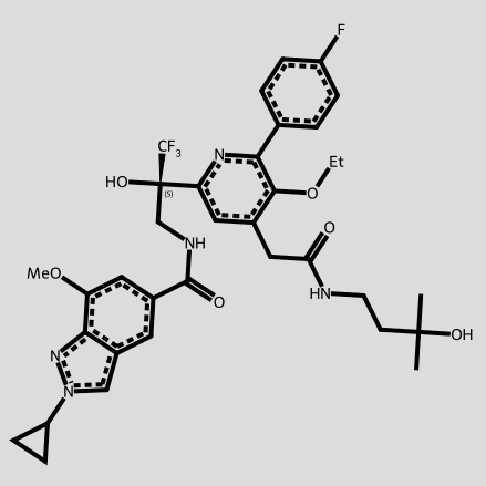 CCOc1c(CC(=O)NCCC(C)(C)O)cc([C@@](O)(CNC(=O)c2cc(OC)c3nn(C4CC4)cc3c2)C(F)(F)F)nc1-c1ccc(F)cc1